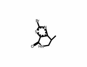 CC1CNC(=O)c2sc(Br)nc21